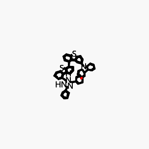 C1=CC2C3C=CC=CC3N(c3ccc4sc5cccc(-c6cccc7c6sc6cccc(C8NC(C9=CCCC=C9)=NC(c9ccccc9)N8)c67)c5c4c3)C2C=C1